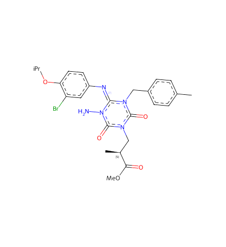 COC(=O)[C@@H](C)Cn1c(=O)n(N)/c(=N\c2ccc(OC(C)C)c(Br)c2)n(Cc2ccc(C)cc2)c1=O